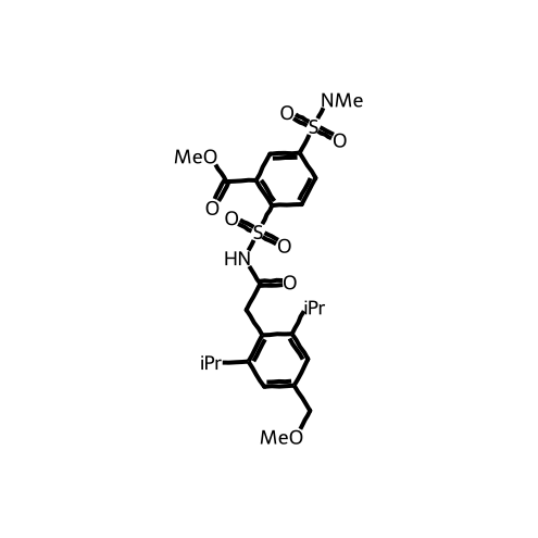 CNS(=O)(=O)c1ccc(S(=O)(=O)NC(=O)Cc2c(C(C)C)cc(COC)cc2C(C)C)c(C(=O)OC)c1